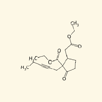 CCC#CCC1(C(=O)OCC)C(=O)CCC1CC(=O)OCC